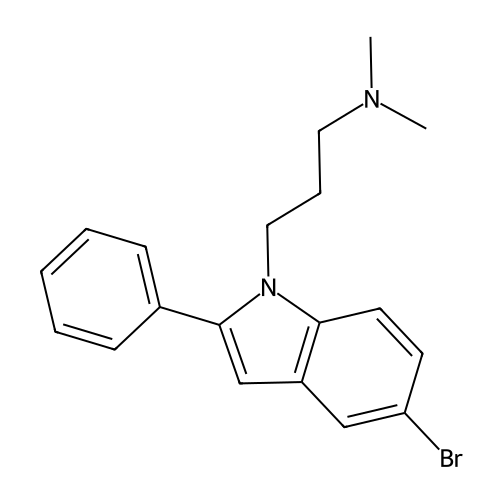 CN(C)CCCn1c(-c2ccccc2)cc2cc(Br)ccc21